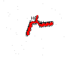 CCOCC(O)COc1cc(OCC(O)COCC(F)(F)OC(F)(F)C(F)(F)OC(F)(F)C(F)(F)OC(F)(F)C(F)(F)OC(F)(F)C(F)(F)OC(F)(F)C(F)(F)OC(F)(F)C(F)(F)F)cc(OCC(O)COCC(F)(F)OC(F)(F)C(F)(F)OC(F)(F)C(F)(F)OC(F)(F)C(F)(F)OC(F)(F)C(F)(F)OC(F)(F)C(F)(F)OC(F)(F)C(F)(F)F)c1